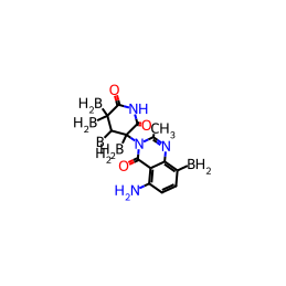 Bc1ccc(N)c2c(=O)n(C3(B)C(=O)NC(=O)C(B)(B)C3B)c(C)nc12